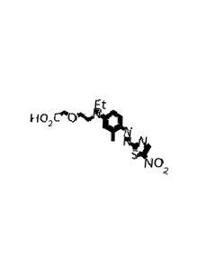 CCN(CCOCC(=O)O)c1ccc(N=Nc2ncc([N+](=O)[O-])s2)c(C)c1